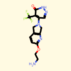 NCCOc1ccc2c(n1)CN(c1cn[nH]c(=O)c1C(F)(F)F)C2